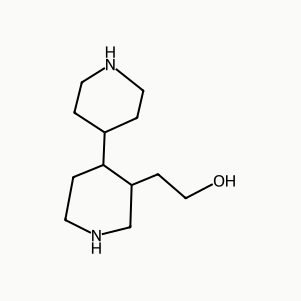 OCCC1CNCCC1C1CCNCC1